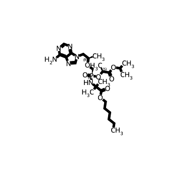 CCCCCCOC(=O)C(C)(C)N[P@@](=O)(CO[C@H](C)Cn1cnc2c(N)ncnc21)O[C@@H](C)C(=O)OC(C)C